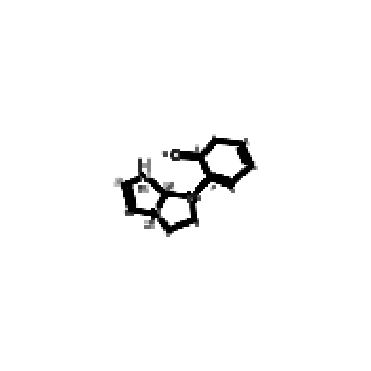 O=C1CC=CC=C1N1CCN2C=CNC21